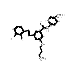 COCCCOc1cc(/C=C/c2cccc(F)c2F)cc(C(=O)Nc2ccc(C(=O)O)cn2)c1